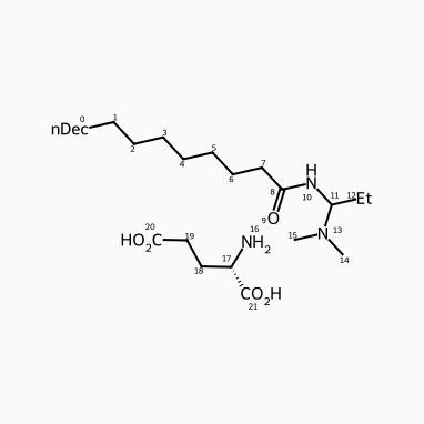 CCCCCCCCCCCCCCCCCC(=O)NC(CC)N(C)C.N[C@@H](CCC(=O)O)C(=O)O